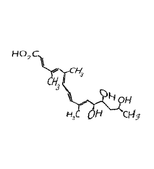 CC(=CC=CC(C)=C[C@H](O)[C@@H](O)C[C@H](C)O)C=C(C)C=CC(=O)O